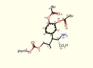 CCCC(C)OC(=O)OCC(C)C(c1ccc(OC(=O)C(C)CC)c(OC(=O)C(C)CC)c1)[C@H](N)C(=O)O